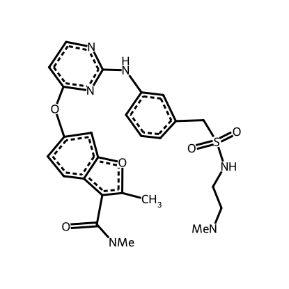 CNCCNS(=O)(=O)Cc1cccc(Nc2nccc(Oc3ccc4c(C(=O)NC)c(C)oc4c3)n2)c1